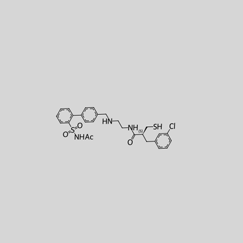 CC(=O)NS(=O)(=O)c1ccccc1-c1ccc(CNCCNC(=O)[C@@H](CS)Cc2cccc(Cl)c2)cc1